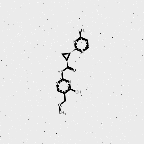 COCc1cnc(NC(=O)[C@H]2C[C@@H]2c2nccc(C)n2)nc1O